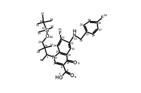 CC(n1cc(C(=O)O)c(=O)c2cc(NCc3ccc(F)cc3)c(F)cc21)C(C)(C)CO[Si](C)(C)C(C)(C)C